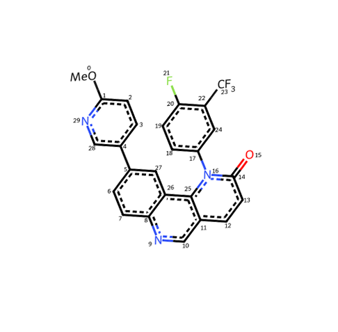 COc1ccc(-c2ccc3ncc4ccc(=O)n(-c5ccc(F)c(C(F)(F)F)c5)c4c3c2)cn1